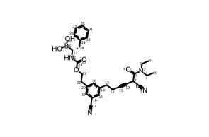 CCN(CC)C(=O)C(C#N)C#CCCc1cc(C#N)cc(CCOC(=O)N[C@@H](Cc2ccccc2)B(O)O)c1